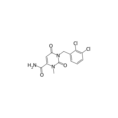 Cn1c(C(N)=O)cc(=O)n(Cc2cccc(Cl)c2Cl)c1=O